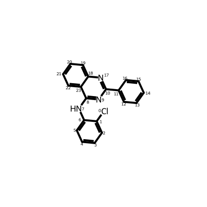 Clc1ccccc1Nc1nc(-c2ccccc2)nc2ccccc12